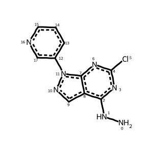 NNc1nc(Cl)nc2c1cnn2-c1cccnc1